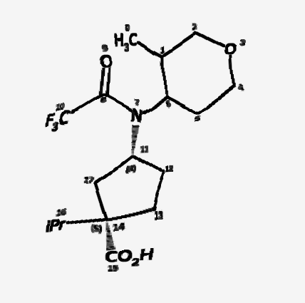 CC1COCCC1N(C(=O)C(F)(F)F)[C@@H]1CC[C@@](C(=O)O)(C(C)C)C1